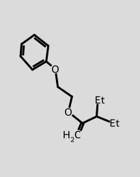 C=C(OCCOc1ccccc1)C(CC)CC